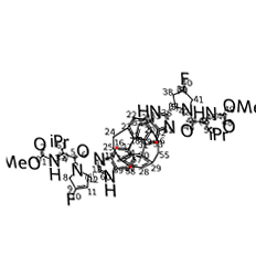 COC(=O)N[C@H](C(=O)N1CC(F)=C[C@H]1c1nc2cc(-c3cc4ccc3CCc3ccc(c(-c5ccc6[nH]c([C@@H]7C[C@@H](F)CN7C(=O)[C@@H](NC(=O)OC)C(C)C)nc6c5)c3)CC4)ccc2[nH]1)C(C)C